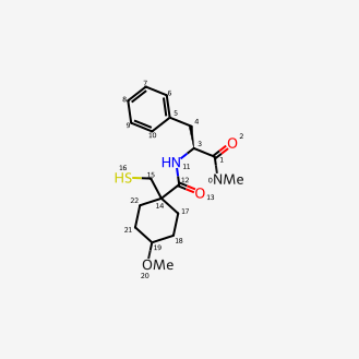 CNC(=O)[C@H](Cc1ccccc1)NC(=O)C1(CS)CCC(OC)CC1